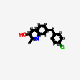 Cc1nc2cc(Cc3ccc(Cl)cc3)ccc2cc1O